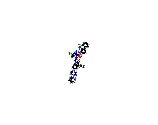 CC(=O)c1cn(CC(=O)N2C[C@H](F)CC2C(=O)Nc2cccc(-c3ccccc3Cl)c2F)c2ccc(N3CCN(c4ncccn4)CC3)cc12